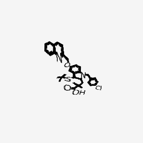 CC(C)(C)SC1c2cc(OCc3ccc4ccccc4n3)ccc2N(Cc2ccc(Cl)cc2)C1CC(C)(C)C(=O)O